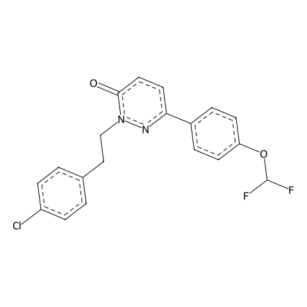 O=c1ccc(-c2ccc(OC(F)F)cc2)nn1CCc1ccc(Cl)cc1